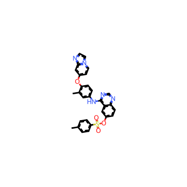 Cc1ccc(S(=O)(=O)Oc2ccc3ncnc(Nc4ccc(Oc5ccn6ccnc6c5)c(C)c4)c3c2)cc1